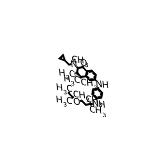 CCC(C)(C)OCCC(C)(C)Nc1ccc(Nc2ccc3c(c2)C(C)(C)[C@@H](C)C(N(C)CC2CC2)C3=O)cc1